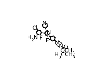 CC(C)(C)OC(=O)N1CCN(c2ccc(-n3cc(-c4cc(Cl)cc(N)c4F)c(-c4ccncc4)n3)c(F)c2)CC1